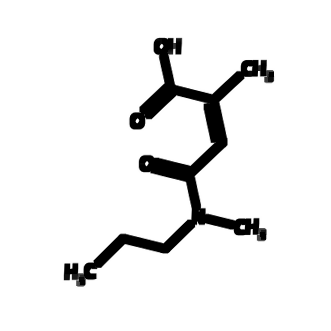 CCCN(C)C(=O)C=C(C)C(=O)O